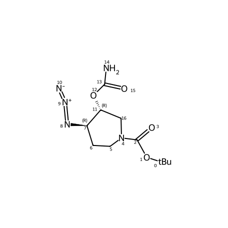 CC(C)(C)OC(=O)N1CC[C@@H](N=[N+]=[N-])[C@H](OC(N)=O)C1